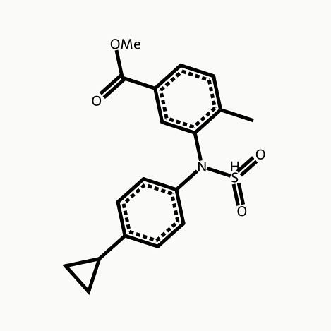 COC(=O)c1ccc(C)c(N(c2ccc(C3CC3)cc2)[SH](=O)=O)c1